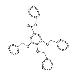 O=C(Oc1ccccc1)c1cc(OCc2ccccc2)c(OCc2ccccc2)c(OCc2ccccc2)c1